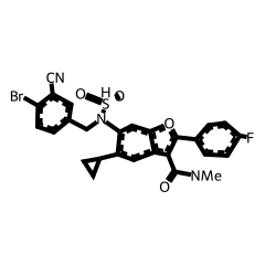 CNC(=O)c1c(-c2ccc(F)cc2)oc2cc(N(Cc3ccc(Br)c(C#N)c3)[SH](=O)=O)c(C3CC3)cc12